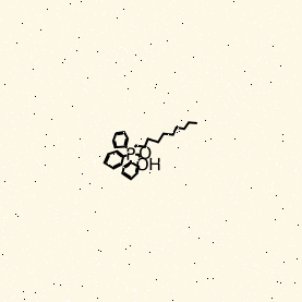 CCCCCCCCCCP(C(=O)O)(c1ccccc1)(c1ccccc1)c1ccccc1